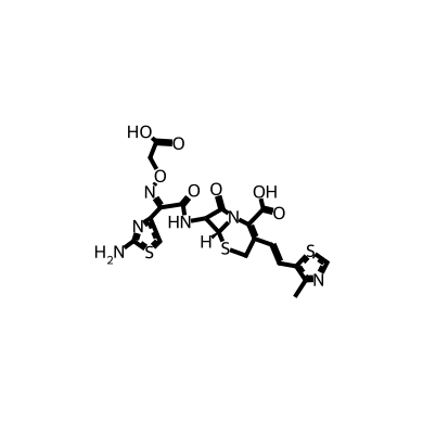 Cc1ncsc1/C=C/C1=C(C(=O)O)N2C(=O)C(NC(=O)/C(=N\OCC(=O)O)c3csc(N)n3)[C@H]2SC1